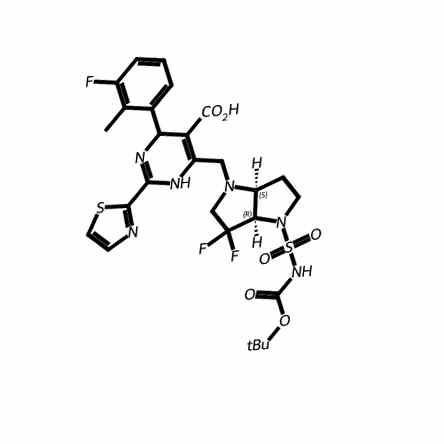 Cc1c(F)cccc1C1N=C(c2nccs2)NC(CN2CC(F)(F)[C@H]3[C@@H]2CCN3S(=O)(=O)NC(=O)OC(C)(C)C)=C1C(=O)O